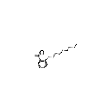 CCCCCCCCCc1ccccc1C(C)=O